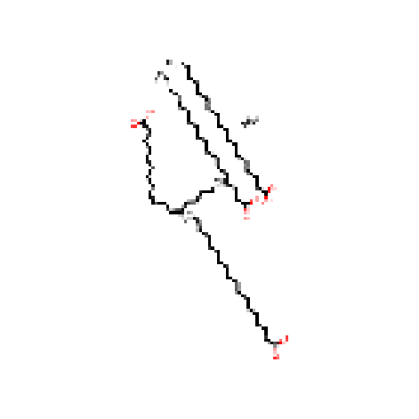 CCCCC/C=C\C/C=C\CCCCCCCC(=O)[O-].CCCCCCCCCCCCCCCCCC(=O)[O-].CCCCCCCCCCCCCCCCCC(=O)[O-].CCCCCCCCCCCCCCCCCC(=O)[O-].[Fe+3].[Na+]